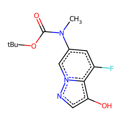 CN(C(=O)OC(C)(C)C)c1cc(F)c2c(O)cnn2c1